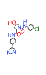 O=C(Nc1ccc(-c2cncnc2)cc1)C1CC(O)CN1C(=O)Nc1ccc(Cl)cc1